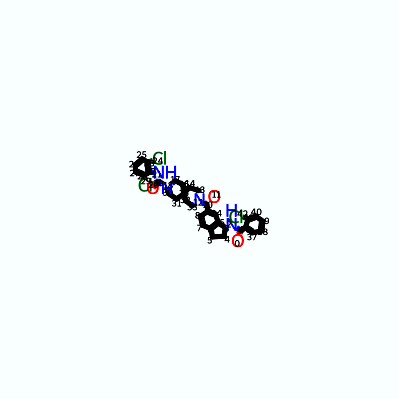 O=C(NC1CCc2ccc(C(=O)N3CCC4(CCN(C(=O)Nc5c(Cl)cccc5Cl)CC4)CC3)cc21)c1ccccc1Cl